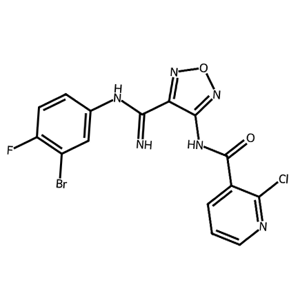 N=C(Nc1ccc(F)c(Br)c1)c1nonc1NC(=O)c1cccnc1Cl